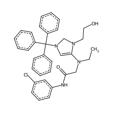 CCN(CC(=O)Nc1cccc(Cl)c1)C1=CN(C(c2ccccc2)(c2ccccc2)c2ccccc2)CN1CCO